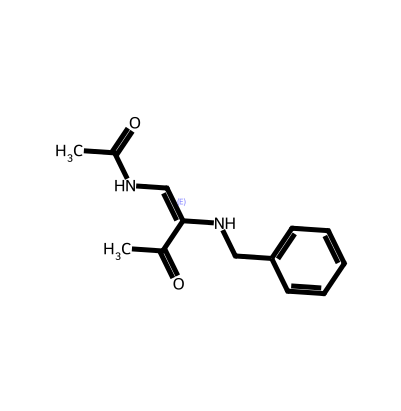 CC(=O)N/C=C(/NCc1ccccc1)C(C)=O